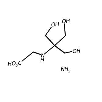 N.O=C(O)CNC(CO)(CO)CO